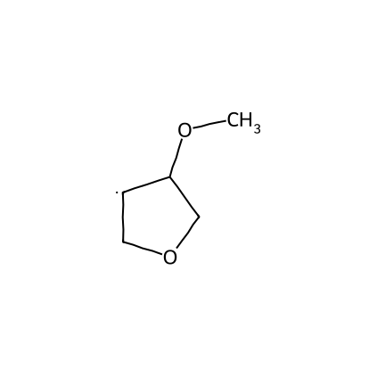 COC1[CH]COC1